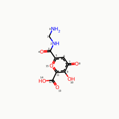 NCNC(=O)c1cc(=O)c(O)c(C(=O)O)o1